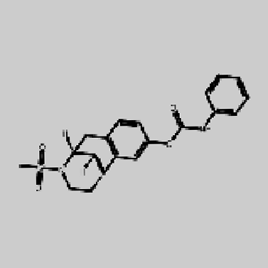 CS(=O)(=O)N1CC[C@]23CCCC[C@H]2[C@H]1Cc1ccc(OC(=O)Nc2ccccc2)cc13